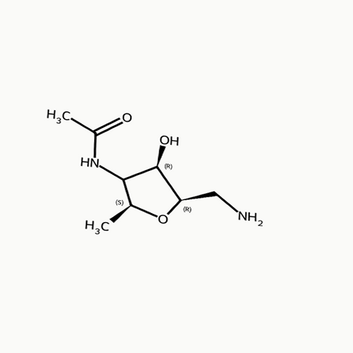 CC(=O)NC1[C@H](C)O[C@H](CN)[C@@H]1O